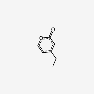 CCc1ccoc(=O)c1